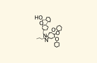 CCCc1nc2cc(Oc3ccccc3)c(=O)c(Oc3ccccc3)cc2n1Cc1ccc(-c2ccccc2C(=O)O)cc1